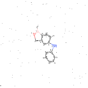 CB1OCc2cc(Nc3ccccc3)ccc21